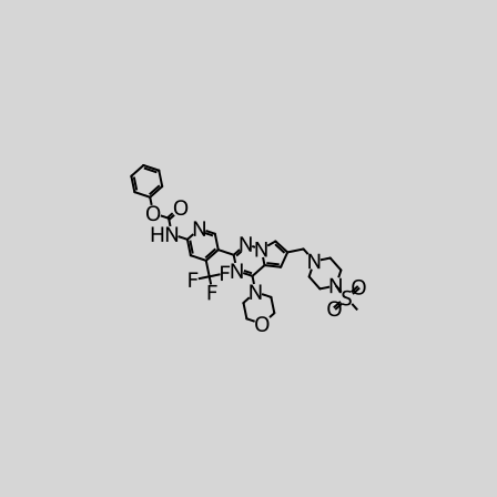 CS(=O)(=O)N1CCN(Cc2cc3c(N4CCOCC4)nc(-c4cnc(NC(=O)Oc5ccccc5)cc4C(F)(F)F)nn3c2)CC1